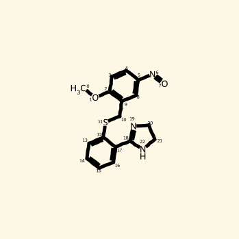 COc1ccc(N=O)cc1CSc1ccccc1C1=NCCN1